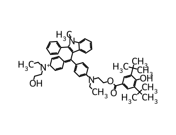 CCN(CCOC(=O)c1cc(C(C)(C)C)c(O)c(C(C)(C)C)c1)c1ccc(C(=C2C=CC(=[N+](CC)CCO)C=C2)c2c(-c3ccccc3)n(C)c3ccccc23)cc1